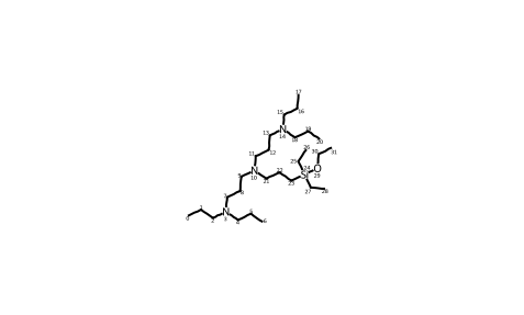 CCCN(CCC)CCCN(CCCN(CCC)CCC)CCC[Si](CC)(CC)OCC